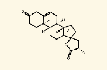 C[C@H]1C[C@@]2(CC[C@H]3[C@@H]4CC=C5CC(=O)CC[C@]5(C)[C@H]4CC[C@@]32C)OC1=O